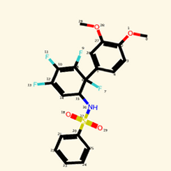 COc1ccc(C2(F)C(F)=C(F)C(F)=CC2NS(=O)(=O)c2ccccc2)cc1OC